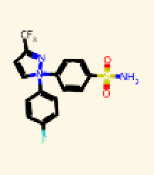 NS(=O)(=O)c1ccc([N+]2(c3ccc(F)cc3)C=CC(C(F)(F)F)=N2)cc1